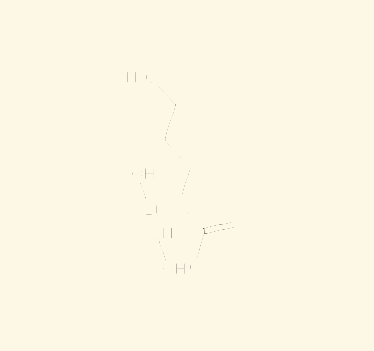 CCCCOC(C)=O.CCO.CO